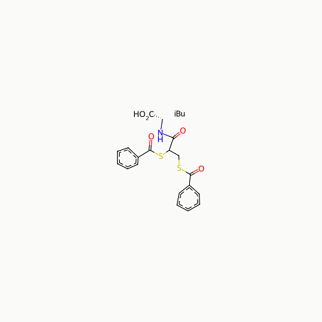 CC[C@H](C)[C@H](NC(=O)C(CSC(=O)c1ccccc1)SC(=O)c1ccccc1)C(=O)O